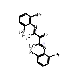 C/C(=N\c1c(C(C)C)cccc1C(C)C)C(=O)/C(C)=N/c1c(C(C)C)cccc1C(C)C